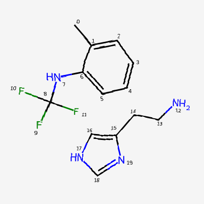 Cc1ccccc1NC(F)(F)F.NCCc1c[nH]cn1